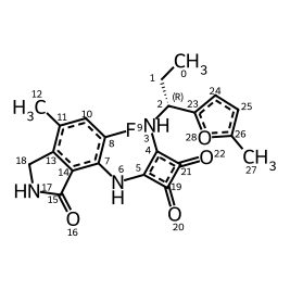 CC[C@@H](Nc1c(Nc2c(F)cc(C)c3c2C(=O)NC3)c(=O)c1=O)c1ccc(C)o1